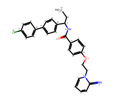 N=c1ccccn1CCOc1ccc(C(=O)NC(CC(=O)O)c2ccc(-c3ccc(Cl)cc3)cc2)cc1